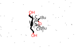 CC(C)(C)[Si](C)(C)O[Si](C)(C)C(C)(C)C.OCCC#CCCO